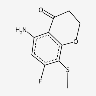 CSc1c(F)cc(N)c2c1OCCC2=O